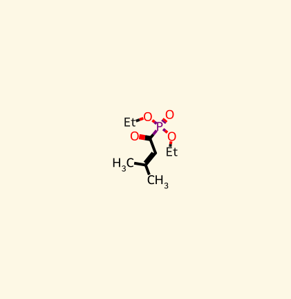 CCOP(=O)(OCC)C(=O)C=C(C)C